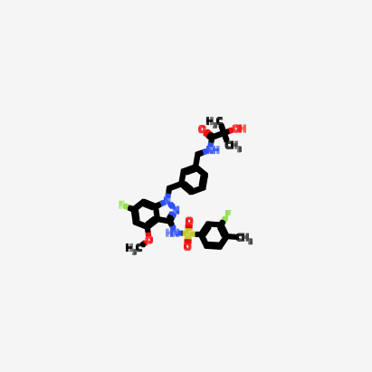 COc1cc(F)cc2c1c(NS(=O)(=O)c1ccc(C)c(F)c1)nn2Cc1cccc(CNC(=O)C(C)(C)O)c1